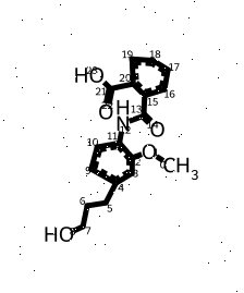 COc1cc(CCCO)ccc1NC(=O)c1ccccc1C(=O)O